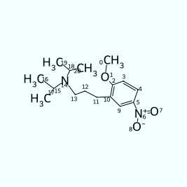 COc1ccc([N+](=O)[O-])cc1CCCN(C(C)C)C(C)C